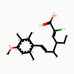 CCC(/C=C(\F)C(=O)O)C(C)/C=C/c1c(C)cc(OC)c(C)c1C